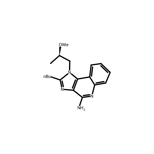 CCCCc1nc2c(N)nc3ccccc3c2n1C[C@@H](C)OC